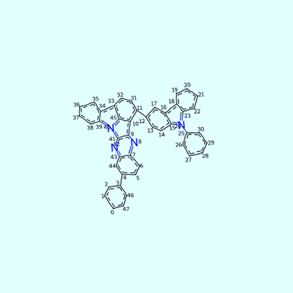 c1ccc(-c2ccc3nc4c5c(-c6ccc7c(c6)c6ccccc6n7-c6ccccc6)ccc6c7ccccc7n(c4nc3c2)c65)cc1